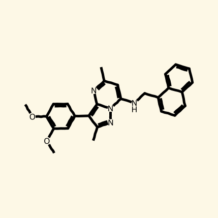 COc1ccc(-c2c(C)nn3c(NCc4cccc5ccccc45)cc(C)nc23)cc1OC